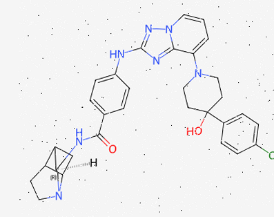 O=C(N[C@H]1CN2CCC3C1CC32)c1ccc(Nc2nc3c(N4CCC(O)(c5ccc(Cl)cc5)CC4)cccn3n2)cc1